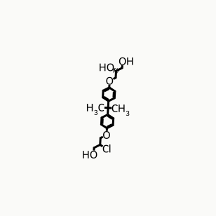 CC(C)(c1ccc(OCC(Cl)CO)cc1)c1ccc(OC[C@H](O)CO)cc1